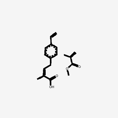 C=C(C)C(=O)OC.C=Cc1ccc(CC=C(C)C(=O)O)cc1